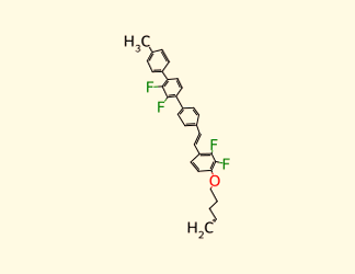 C=CCCCOc1ccc(/C=C/c2ccc(-c3ccc(-c4ccc(C)cc4)c(F)c3F)cc2)c(F)c1F